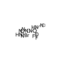 Cc1c(NCCN2CCCC2)cc(OC(F)F)cc1N1CCN(c2ncnc3[nH]nc(Br)c23)CC1